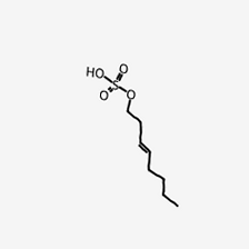 CCCCC=CCCOS(=O)(=O)O